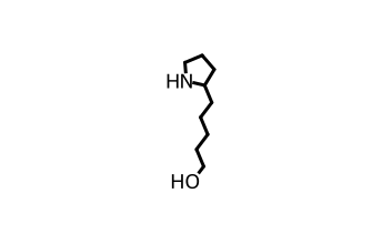 OCCCCCC1CCCN1